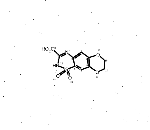 O=C(O)C1=Nc2cc3c(cc2S(=O)(=O)N1)OCCO3